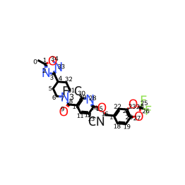 Cc1nc(C2CCN(C(=O)c3cc(C#N)c(OCc4ccc5c(c4)OC(F)(F)O5)nc3C(F)(F)F)CC2)no1